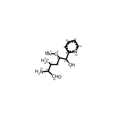 CC(CC(OC(C)(C)C)C(O)c1ccccn1)C(N)C=O